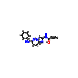 CNC(=O)Nc1cn2nc(Nc3ccccc3)ccc2n1